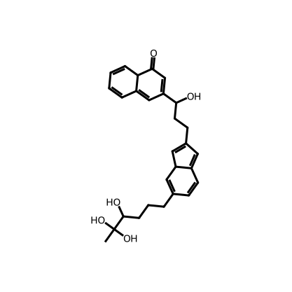 CC(O)(O)C(O)CCCC1=CC2C=C(CCC(O)C3=CC(=O)C4C=CC=CC4=C3)C=C2C=C1